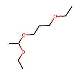 CCOCCCOC(C)OCC